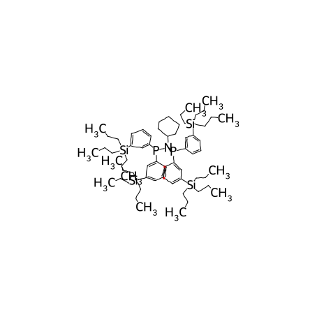 CCC[Si](CCC)(CCC)c1cccc(P(c2cccc([Si](CCC)(CCC)CCC)c2)N(C2CCCCC2)P(c2cccc([Si](CCC)(CCC)CCC)c2)c2cccc([Si](CCC)(CCC)CCC)c2)c1